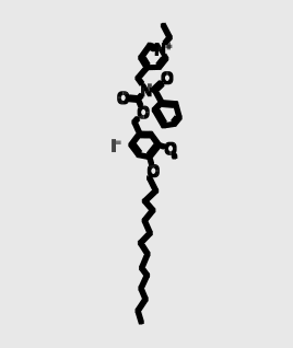 CCCCCCCCCCCCCCOc1ccc(COC(=O)N(Cc2cc[n+](CC)cc2)C(=O)c2ccccc2)cc1OC.[I-]